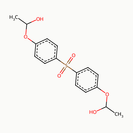 CC(O)Oc1ccc(S(=O)(=O)c2ccc(OC(C)O)cc2)cc1